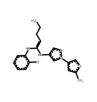 CCC/C=C(/Nc1cnn(-c2csc(C)c2)c1)Nc1ccccc1Cl